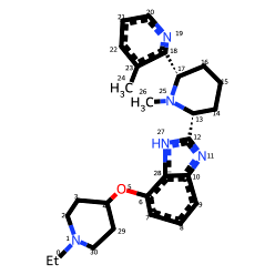 CCN1CCC(Oc2cccc3nc([C@H]4CCC[C@@H](c5ncccc5C)N4C)[nH]c23)CC1